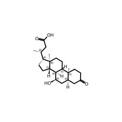 C[C@H](CC(=O)O)[C@H]1CC[C@H]2[C@@H]3[C@H](O)C[C@@H]4CC(=O)CC[C@]4(C)[C@H]3CC[C@]12C